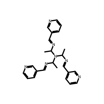 CC(/N=C/c1cccnc1)N(C(C)/N=C/c1cccnc1)C(C)/N=C/c1cccnc1